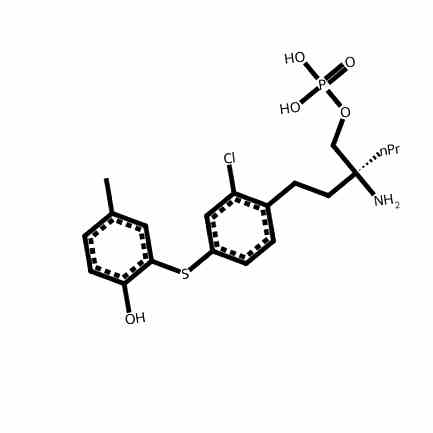 CCC[C@](N)(CCc1ccc(Sc2cc(C)ccc2O)cc1Cl)COP(=O)(O)O